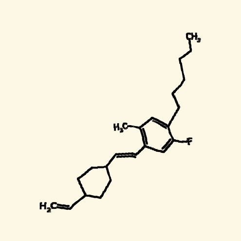 C=CC1CCC(/C=C/c2cc(F)c(CCCCCC)cc2C)CC1